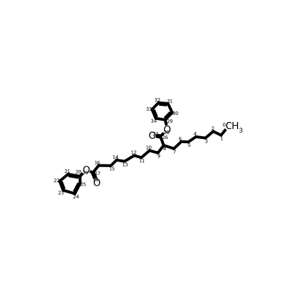 CCCCCCCCC(CCCCCCCCC(=O)Oc1ccccc1)C(=O)Oc1ccccc1